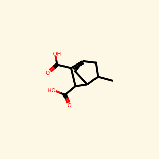 CC1CC2=C(C(=O)O)C(C(=O)O)C1C2